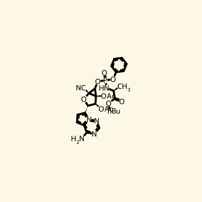 CCCCOC(=O)[C@H](C)NP(=O)(Oc1ccccc1)OC1[C@@]2(C#N)O[C@@H](c3ccc4c(N)ncnn34)[C@H](OC(C)=O)[C@@]12OC(C)=O